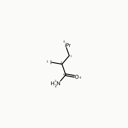 CC(C)CC(I)C(N)=O